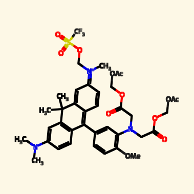 COc1ccc(C2=C3C=CC(=[N+](C)COS(=O)(=O)C(F)(F)F)C=C3C(C)(C)c3cc(N(C)C)ccc32)cc1N(CC(=O)OCOC(C)=O)CC(=O)OCOC(C)=O